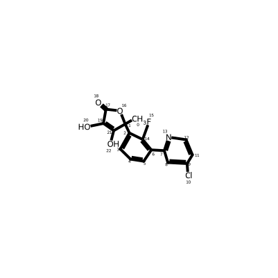 CC1(c2cccc(-c3cc(Cl)ccn3)c2F)OC(=O)C(O)=C1O